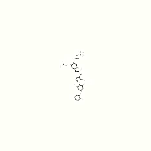 Cc1cc(Oc2ccccc2F)cc(F)c1-n1ncc(C(=O)c2cc3cc(OCC(F)F)c(NC4CN(S(C)(=O)=O)C4)cc3[nH]2)c1N